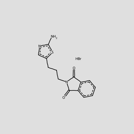 Br.Nc1ncc(CCCN2C(=O)c3ccccc3C2=O)s1